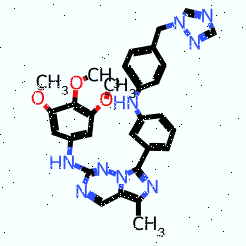 COc1cc(Nc2ncc3c(C)nc(-c4cccc(Nc5ccc(Cn6cncn6)cc5)c4)n3n2)cc(OC)c1OC